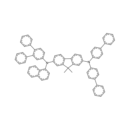 CC1(C)c2cc(N(c3ccc(-c4ccccc4)cc3)c3ccc(-c4ccccc4)cc3)ccc2-c2ccc(N(c3ccc(-c4ccccc4)c(-c4ccccc4)c3)c3cccc4ccccc34)cc21